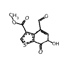 COC(=O)c1csc2c1C(C=O)=CC(O)C2=O